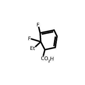 CCC1(F)C(F)=CC=CC1C(=O)O